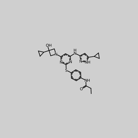 CCC(=O)Nc1ccc(Sc2nc(Nc3cc(C4CC4)[nH]n3)cc(N3CC(O)(C4CC4)C3)n2)cc1